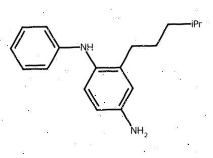 CC(C)CCCc1cc(N)ccc1Nc1ccccc1